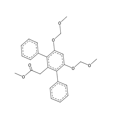 COCOc1cc(OCOC)c(-c2ccccc2)c(CC(=O)OC)c1-c1ccccc1